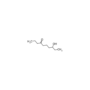 CCCC(=O)CCCC(O)CC